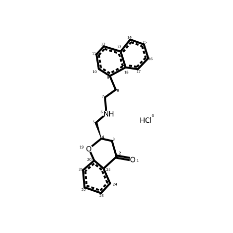 Cl.O=C1C[C@H](CNCCc2cccc3ccccc23)Oc2ccccc21